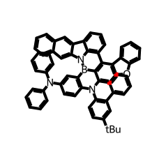 CC(C)(C)c1ccc(N2c3ccc(N(c4ccccc4)c4ccccc4)cc3B3c4c2cc2oc5ccccc5c2c4-c2cccc4c5cc6ccccc6cc5n3c24)c(-c2ccccc2)c1